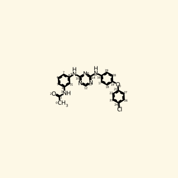 CC(=O)Nc1cccc(Nc2ncnc(Nc3ccc(Oc4ccc(Cl)cc4)cc3)n2)c1